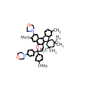 COc1ccc(C2(c3ccc(N4CCOCC4)cc3)C=Cc3c4c(c5cc(N6CCOCC6)c(SC)cc5c3O2)-c2ccc(C)cc2C42CC(C)(C)CC(C)(C)C2)cc1